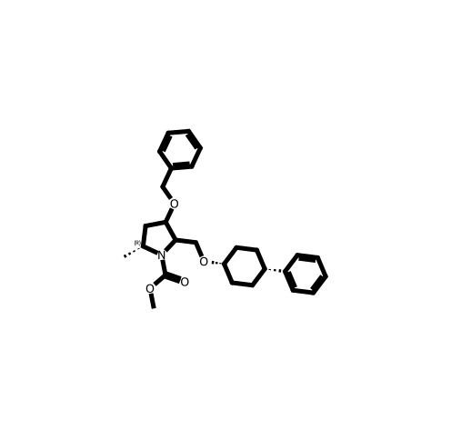 COC(=O)N1C(CO[C@H]2CC[C@@H](c3ccccc3)CC2)C(OCc2ccccc2)C[C@H]1C